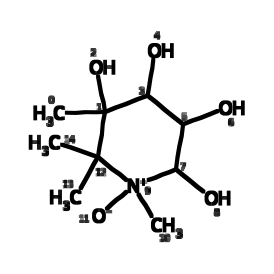 CC1(O)C(O)C(O)C(O)[N+](C)([O-])C1(C)C